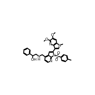 COc1cc2c(nc1OC)c(-c1cc3c(CNCC(O)c4ccccc4)ccnc3n1S(=O)(=O)c1ccc(C)cc1)cn2C